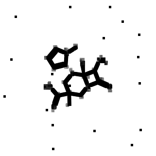 CC1(C(=O)O)CS[C@@H]2C(N)C(=O)N2C1.Cn1cccc1